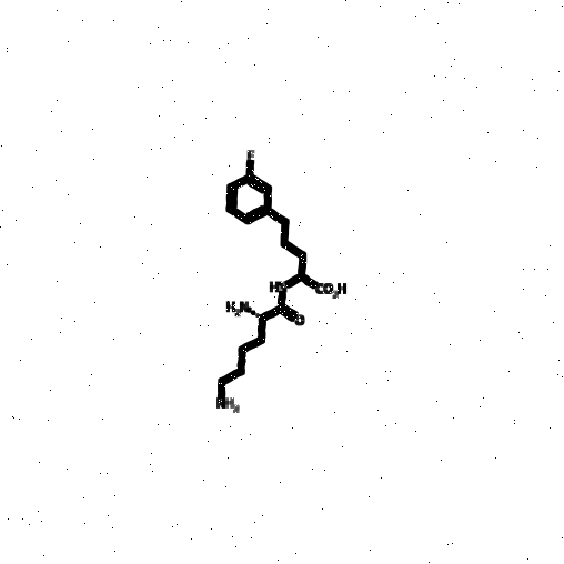 NCCCC[C@H](N)C(=O)NC(CCCc1cccc(F)c1)C(=O)O